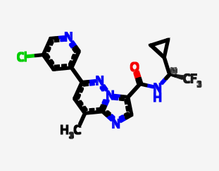 Cc1cc(-c2cncc(Cl)c2)nn2c(C(=O)N[C@@H](C3CC3)C(F)(F)F)cnc12